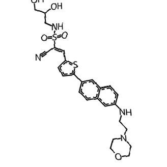 N#C/C(=C\c1ccc(-c2ccc3cc(NCCN4CCOCC4)ccc3c2)s1)S(=O)(=O)NCC(O)CO